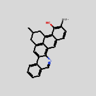 COc1ccc2cc3c4c(cc5c6ccccc6cnc35)CC(C)Cc4c2c1O